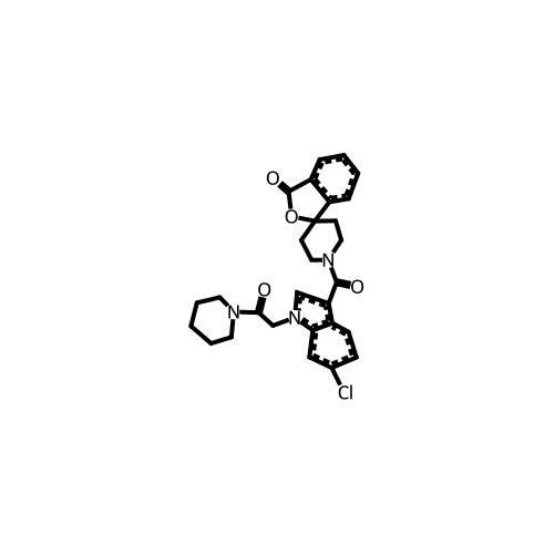 O=C1OC2(CCN(C(=O)c3cn(CC(=O)N4CCCCC4)c4cc(Cl)ccc34)CC2)c2ccccc21